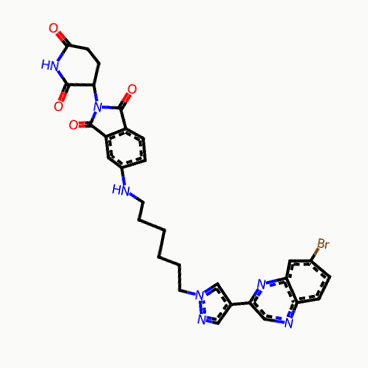 O=C1CCC(N2C(=O)c3ccc(NCCCCCCn4cc(-c5cnc6ccc(Br)cc6n5)cn4)cc3C2=O)C(=O)N1